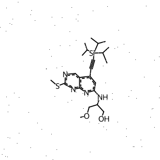 COCC(CO)Nc1cc(C#C[Si](C(C)C)(C(C)C)C(C)C)c2cnc(SC)nc2n1